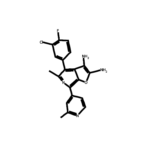 Cc1cc(-c2nc(C)c(-c3ccc(F)c(Cl)c3)c3c(N)c(N)oc23)ccn1